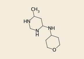 CC1CC(NC2CCOCC2)NCN1